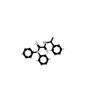 CC(NC(=O)C(=O)N(c1ccccc1)c1ccccc1)c1ccccc1